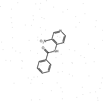 O=C(Nc1ccncc1[N+](=O)[O-])c1ccccc1